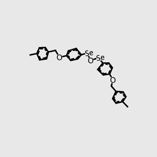 Cc1ccc(COc2ccc([Se]O[Se]c3ccc(OCc4ccc(C)cc4)cc3)cc2)cc1